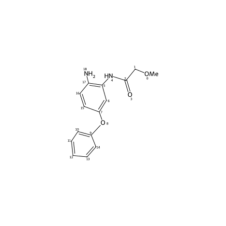 COCC(=O)Nc1cc(Oc2ccccc2)ccc1N